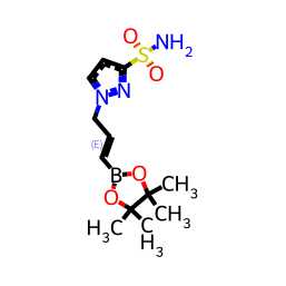 CC1(C)OB(/C=C/Cn2ccc(S(N)(=O)=O)n2)OC1(C)C